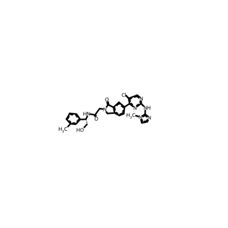 Cc1cccc([C@@H](CO)NC(=O)CN2Cc3ccc(-c4nc(Nc5nccn5C)ncc4Cl)cc3C2=O)c1